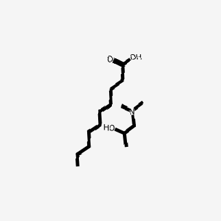 CC(O)CN(C)C.CCCCCCCCCC(=O)O